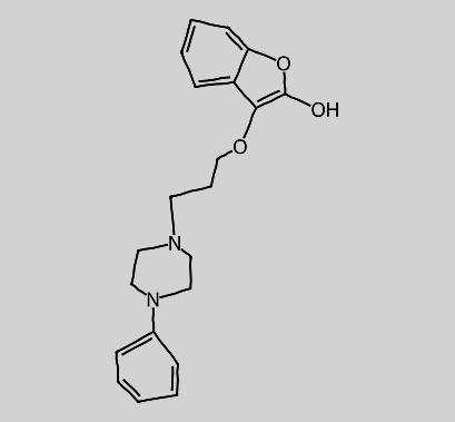 Oc1oc2ccccc2c1OCCCN1CCN(c2ccccc2)CC1